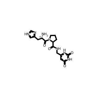 N[C@@H](Cc1c[nH]cn1)C(=O)N1CCCC1C(=O)NCc1cc(=O)[nH]c(=O)[nH]1